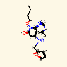 CCCCOn1c(=O)cc(NCc2ccco2)c2c(C)ncnc21